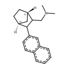 CN(C)CC1C(c2ccc3ccccc3c2)[C@H]2CC[C@H]1C2